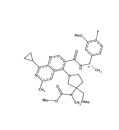 COCC1(N(C)C(=O)OC(C)(C)C)CCN(c2c(C(=O)N[C@@H](C)c3ccc(F)c(OC)c3)cnc3c(C4CC4)nc(C)cc23)C1